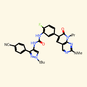 CNc1ncc2cc(-c3ccc(F)c(NC(=O)Nc4cn(C(C)(C)C)nc4-c4ccc(C#N)cc4)c3)c(=O)n(C(C)C)c2n1